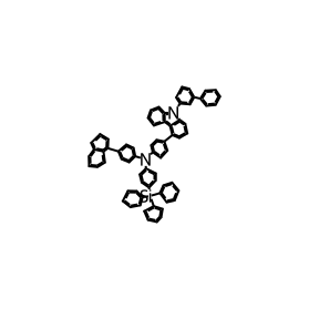 c1ccc(-c2cccc(-n3c4ccccc4c4c(-c5ccc(N(c6ccc(-c7cccc8ccccc78)cc6)c6ccc([Si](c7ccccc7)(c7ccccc7)c7ccccc7)cc6)cc5)cccc43)c2)cc1